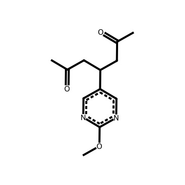 COc1ncc(C(CC(C)=O)CC(C)=O)cn1